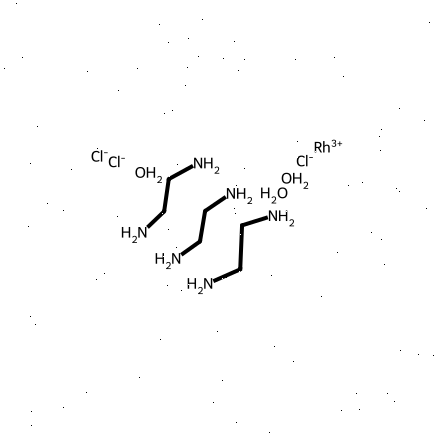 NCCN.NCCN.NCCN.O.O.O.[Cl-].[Cl-].[Cl-].[Rh+3]